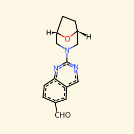 O=Cc1ccc2nc(N3C[C@H]4CC[C@@H](C3)O4)ncc2c1